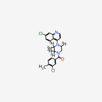 [2H]C1CN(C(=O)c2ccc(C)c(Cl)c2)C([2H])([2H])C([2H])([2H])N1c1ccnc2cc(Cl)ccc12